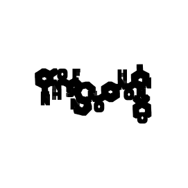 Cc1cnc(N2CC3(CCOCC3)C2)c(C(=O)Nc2ccc(C(=O)N3CCc4c(sc(C(=O)Nc5c(C)cccc5C#N)c4F)-c4ncccc43)cc2)c1